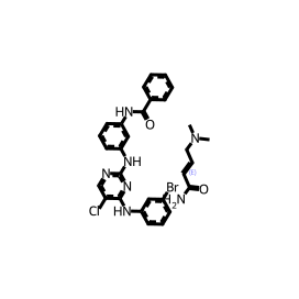 CN(C)C/C=C/C(N)=O.O=C(Nc1cccc(Nc2ncc(Cl)c(Nc3cccc(Br)c3)n2)c1)c1ccccc1